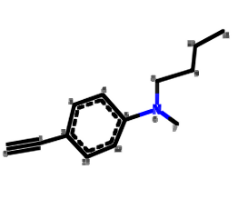 C#Cc1ccc(N(C)CCCC)cc1